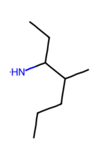 CCCC(C)C([NH])CC